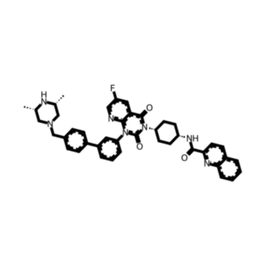 C[C@@H]1CN(Cc2ccc(-c3cccc(-n4c(=O)n([C@H]5CC[C@@H](NC(=O)c6ccc7ccccc7n6)CC5)c(=O)c5cc(F)cnc54)c3)cc2)C[C@H](C)N1